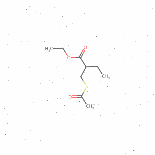 CCOC(=O)C(CC)CSC(C)=O